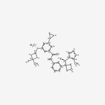 C[C@H](c1cc(C(=O)Nc2cccc(C3([C@@H](F)c4nncn4C)COC3)c2)nc(C2CC2)c1)N1CC(C)(F)C1